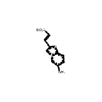 CCOC(=O)/C=C/c1cn2cc(OC)ccc2n1